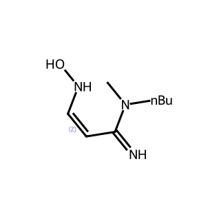 CCCCN(C)C(=N)/C=C\NO